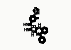 Cc1cc(C(=N)OC(=N)NC2N=C(c3ccccc3)c3ccccc3NC2=O)ccc1-n1cncn1